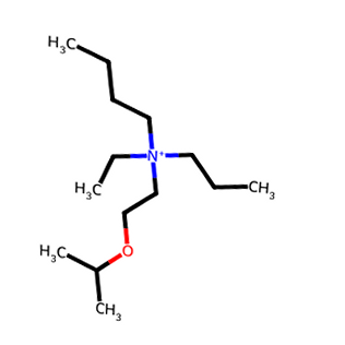 CCCC[N+](CC)(CCC)CCOC(C)C